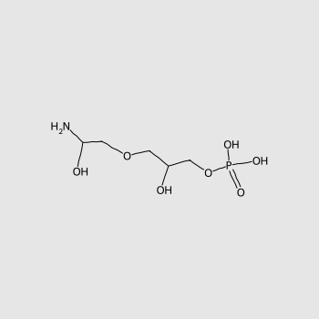 NC(O)COCC(O)COP(=O)(O)O